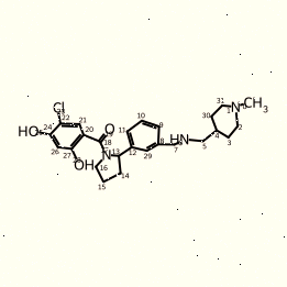 CN1CCC(CNCc2cccc(C3CCCN3C(=O)c3cc(Cl)c(O)cc3O)c2)CC1